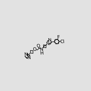 O=C(CO[C@H]1C[C@@H](n2nccn2)C1)NC12CC(n3cnc(-c4ccc(Cl)c(F)c4)c3)(C1)C2